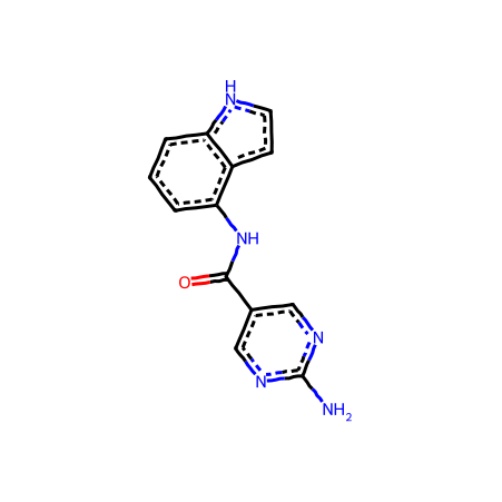 Nc1ncc(C(=O)Nc2cccc3[nH]ccc23)cn1